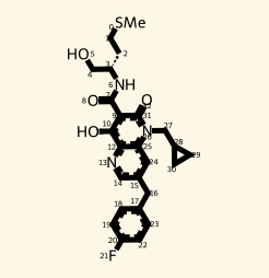 CSCC[C@@H](CO)NC(=O)c1c(O)c2ncc(Cc3ccc(F)cc3)cc2n(CC2CC2)c1=O